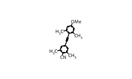 COc1cc(C)c(C#Cc2cc(C)c(C#N)c(C)c2)c(C)c1